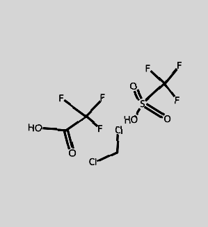 ClCCl.O=C(O)C(F)(F)F.O=S(=O)(O)C(F)(F)F